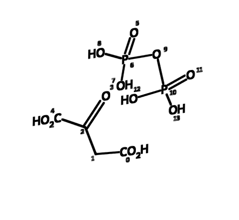 O=C(O)CC(=O)C(=O)O.O=P(O)(O)OP(=O)(O)O